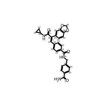 NC(=O)c1ccc(CNC(=O)c2ccc(/C=C(/C(=O)NC3CC3)c3ccc4c(c3)OCO4)cc2)cc1